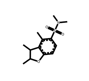 Cc1c(S(=O)(=O)N(C)C)ccc2c1C(C)C(C)O2